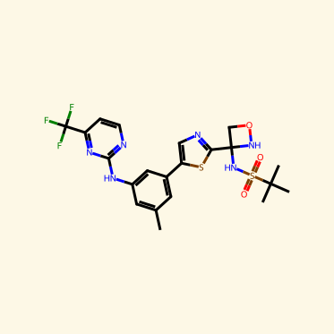 Cc1cc(Nc2nccc(C(F)(F)F)n2)cc(-c2cnc(C3(NS(=O)(=O)C(C)(C)C)CON3)s2)c1